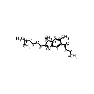 CCCC(=O)c1cc2nc(COCCN(C)C)n(C)c2cc1C